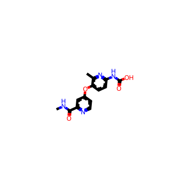 CNC(=O)c1cc(Oc2ccc(NC(=O)O)nc2C)ccn1